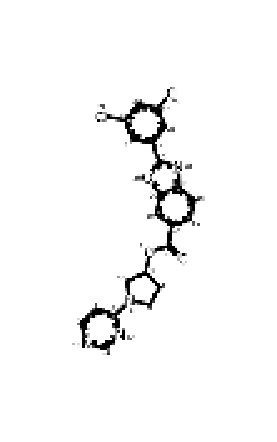 O=C(OC1CCN(c2ccncn2)C1)c1ccc2nc(-c3cc(Cl)cc(Cl)c3)oc2c1